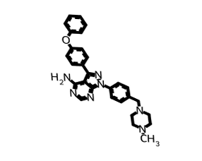 CN1CCN(Cc2ccc(-n3nc(-c4ccc(Oc5ccccc5)cc4)c4c(N)ncnc43)cc2)CC1